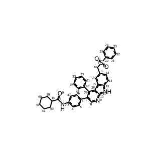 O=C(Nc1ccc(-c2cnc3[nH]c4ccc(CS(=O)(=O)c5ccccc5)cc4c3c2-c2ccccc2)cc1)C1CCCCC1